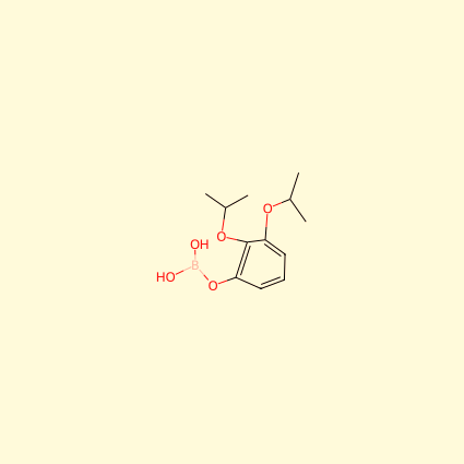 CC(C)Oc1cccc(OB(O)O)c1OC(C)C